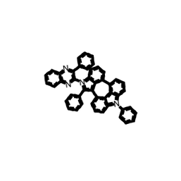 c1ccc(-c2nc3ccccc3nc2-n2c(-c3ccccc3)c3c4c(cccc42)-c2cccc4c2c2c-3cccc2n4-c2ccccc2)cc1